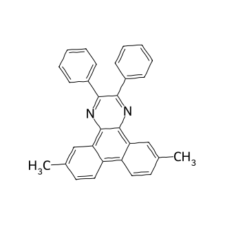 Cc1ccc2c3ccc(C)cc3c3nc(-c4ccccc4)c(-c4ccccc4)nc3c2c1